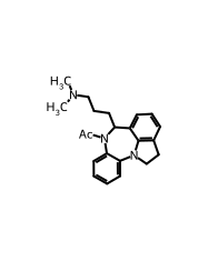 CC(=O)N1c2ccccc2N2CCc3cccc(c32)C1CCCN(C)C